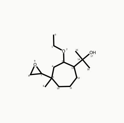 CCOC1CC(C)(C2CO2)CCCC1C(C)(C)O